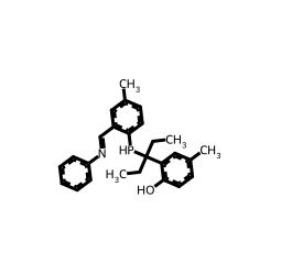 CCC(CC)(Pc1ccc(C)cc1/C=N/c1ccccc1)c1cc(C)ccc1O